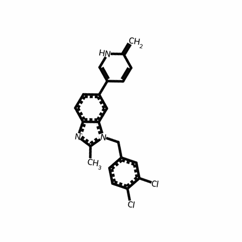 C=C1C=CC(c2ccc3nc(C)n(Cc4ccc(Cl)c(Cl)c4)c3c2)=CN1